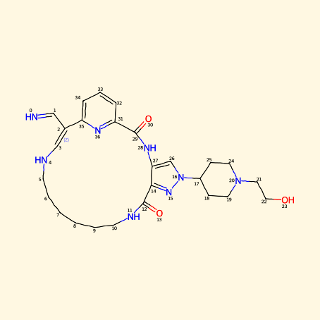 N=C/C1=C\NCCCCCCNC(=O)c2nn(C3CCN(CCO)CC3)cc2NC(=O)c2cccc1n2